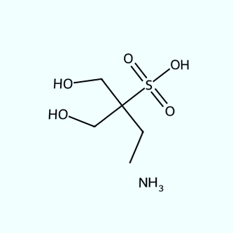 CCC(CO)(CO)S(=O)(=O)O.N